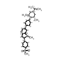 CC(C)N1C[C@H](C)N(c2ccc(-c3cnc4cc(-c5ccc(S(C)(=O)=O)cc5)n(C)c4c3)cc2)[C@@H](C)C1